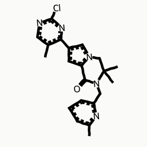 Cc1cccc(CN2C(=O)c3cc(-c4nc(Cl)ncc4C)cn3CC2(C)C)n1